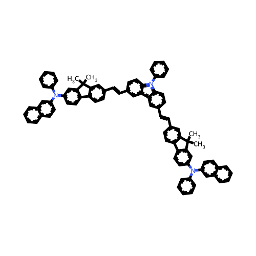 CC1(C)c2cc(/C=C/c3ccc4c(c3)c3cc(/C=C/c5ccc6c(c5)C(C)(C)c5cc(N(c7ccccc7)c7ccc8ccccc8c7)ccc5-6)ccc3n4-c3ccccc3)ccc2-c2ccc(N(c3ccccc3)c3ccc4ccccc4c3)cc21